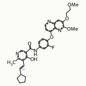 COCCOc1cc2nccc(Oc3ccc(NC(=O)c4cnc(C)c(/C=C/C5CCCC5)c4O)cc3F)c2nc1OC